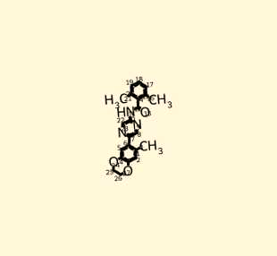 Cc1cc2c(cc1-c1cnc(NC(=O)c3c(C)cccc3C)cn1)OCCO2